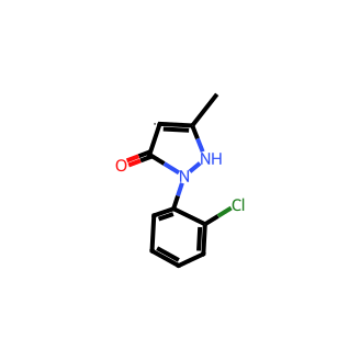 Cc1[c]c(=O)n(-c2ccccc2Cl)[nH]1